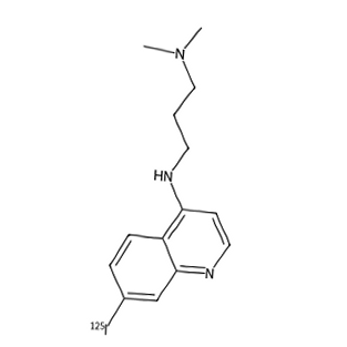 CN(C)CCCNc1ccnc2cc([125I])ccc12